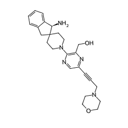 N[C@@H]1c2ccccc2CC12CCN(c1ncc(C#CCN3CCOCC3)nc1CO)CC2